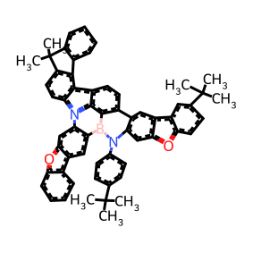 CC(C)(C)c1ccc(N2B3c4cc5c(cc4-n4c6ccc7c(c6c6ccc(c3c64)-c3cc4c(cc32)oc2ccc(C(C)(C)C)cc24)-c2ccccc2C7(C)C)oc2ccccc25)cc1